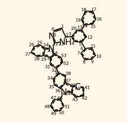 C1=CC(c2cc(-c3ccccc3)cc(-c3ccccc3)c2)NC(n2c3ccccc3c3cc(-c4ccc5c(c4)c4ccccc4n5-c4ccccc4)ccc32)=N1